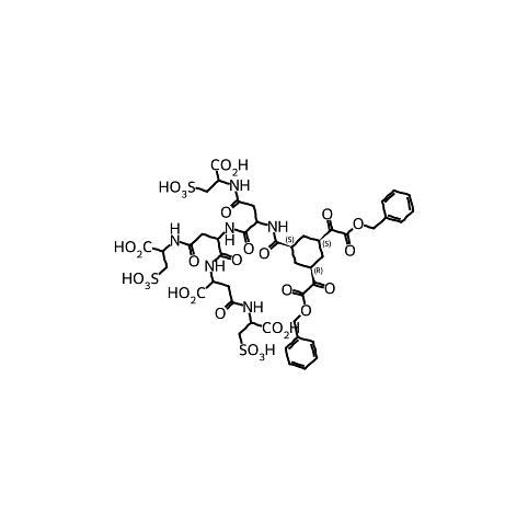 O=C(CC(NC(=O)C(CC(=O)NC(CS(=O)(=O)O)C(=O)O)NC(=O)C(CC(=O)NC(CS(=O)(=O)O)C(=O)O)NC(=O)[C@H]1C[C@@H](C(=O)C(=O)OCc2ccccc2)C[C@@H](C(=O)C(=O)OCc2ccccc2)C1)C(=O)O)NC(CS(=O)(=O)O)C(=O)O